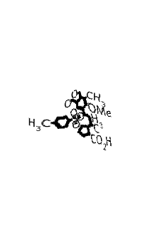 COc1c(C)c2c(c(OS(=O)(=O)c3ccc(C)cc3)c1CC=C(C)C1CCCC1C(=O)O)C(=O)OC2